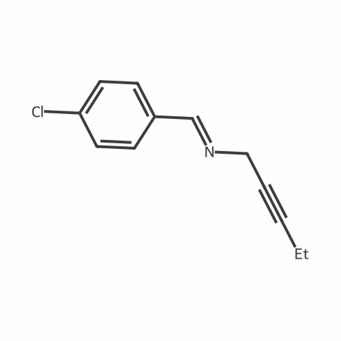 CCC#CC/N=C/c1ccc(Cl)cc1